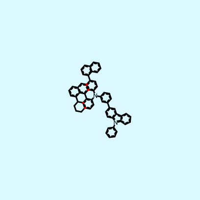 c1ccc(-n2c3ccccc3c3cc(-c4cccc(N(c5ccc(-c6cccc7ccccc67)cc5)c5ccccc5-c5cccc6cccc(C7CCCCC7)c56)c4)ccc32)cc1